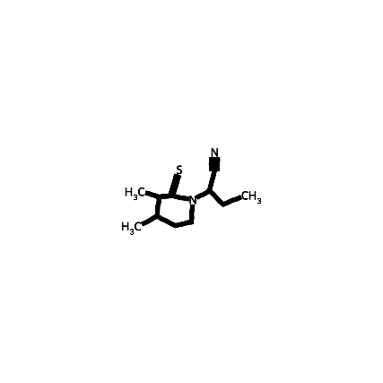 CCC(C#N)N1CCC(C)C(C)C1=S